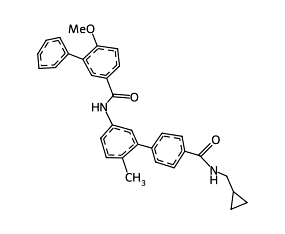 COc1ccc(C(=O)Nc2ccc(C)c(-c3ccc(C(=O)NCC4CC4)cc3)c2)cc1-c1ccccc1